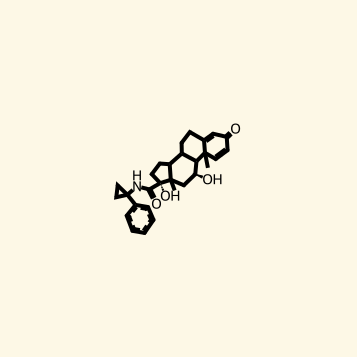 CC12C=CC(=O)C=C1CCC1C2[C@@H](O)CC2(C)C1CC[C@]2(O)C(=O)NC1(c2ccccc2)CC1